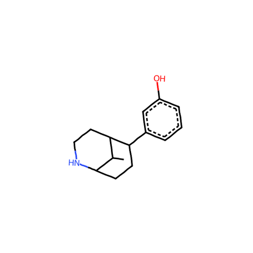 CC1C2CCC(c3cccc(O)c3)C1CCN2